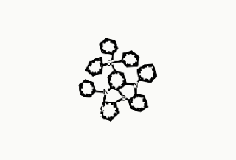 c1ccc(N2c3ccccc3B3c4ccccc4N(c4ccccc4)c4cc([Si](c5ccccc5)(c5ccccc5)c5ccccc5)cc2c43)cc1